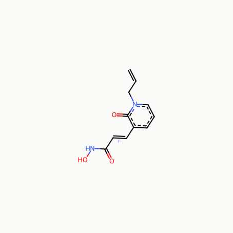 C=CCn1cccc(/C=C/C(=O)NO)c1=O